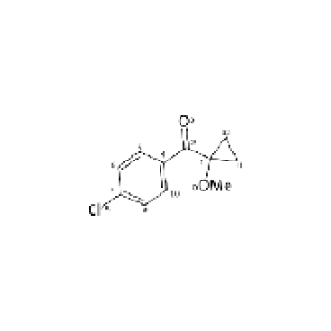 COC1(C(=O)c2ccc(Cl)cc2)CC1